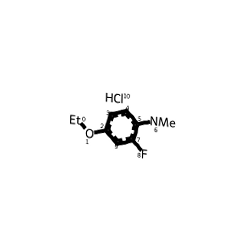 CCOc1ccc(NC)c(F)c1.Cl